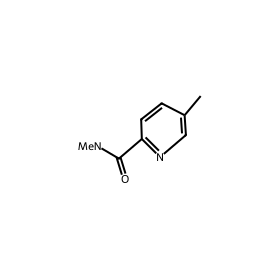 CNC(=O)c1ccc(C)cn1